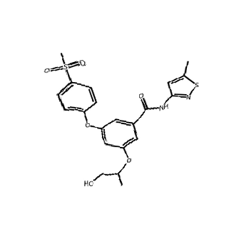 Cc1cc(NC(=O)c2cc(Oc3ccc(S(C)(=O)=O)cc3)cc(OC(C)CO)c2)ns1